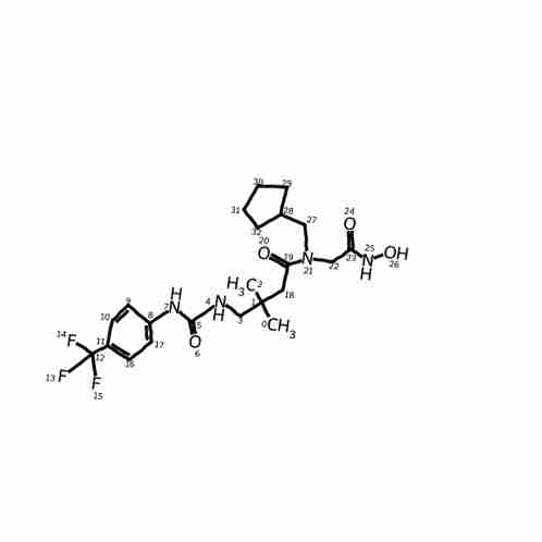 CC(C)(CNC(=O)Nc1ccc(C(F)(F)F)cc1)CC(=O)N(CC(=O)NO)CC1CCCC1